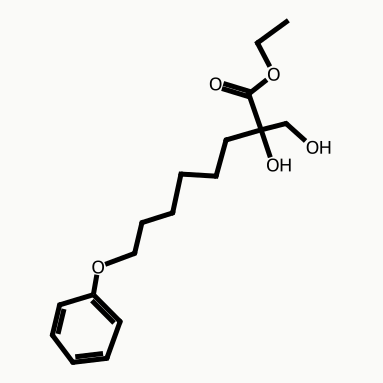 CCOC(=O)C(O)(CO)CCCCCCOc1ccccc1